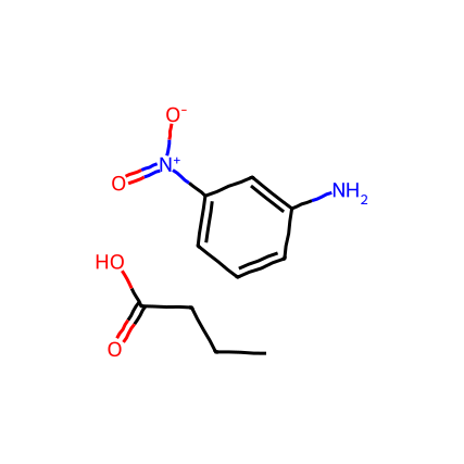 CCCC(=O)O.Nc1cccc([N+](=O)[O-])c1